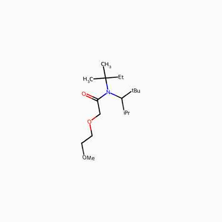 CCC(C)(C)N(C(=O)COCCOC)C(C(C)C)C(C)(C)C